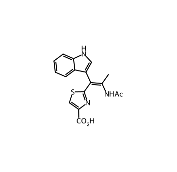 CC(=O)N/C(C)=C(\c1nc(C(=O)O)cs1)c1c[nH]c2ccccc12